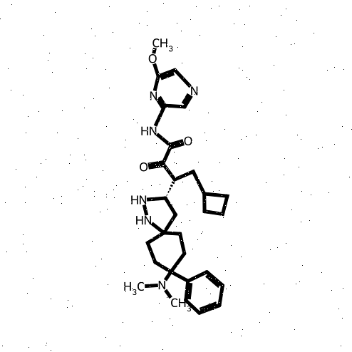 COc1cncc(NC(=O)C(=O)C(CC2CCC2)[C@@H]2CC3(CCC(c4ccccc4)(N(C)C)CC3)NN2)n1